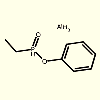 CC[PH](=O)Oc1ccccc1.[AlH3]